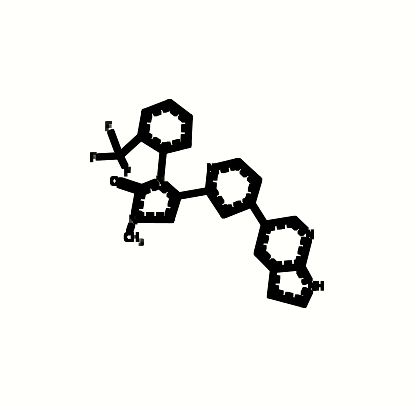 Cn1cc(-c2cc(-c3cnc4[nH]ccc4c3)ccn2)n(-c2ccccc2C(F)(F)F)c1=O